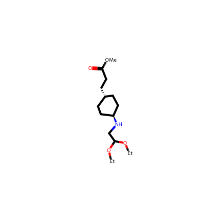 CCOC(CN[C@H]1CC[C@H](CCC(=O)OC)CC1)OCC